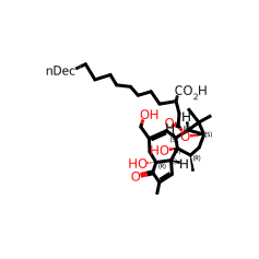 CCCCCCCCCCCCCCCCCCC(CC(=O)O[C@@]12C[C@@H](C)[C@@]3(O)[C@@H](C=C(CO)C[C@]4(O)C(=O)C(C)=C[C@@H]34)[C@@H]1C2(C)C)C(=O)O